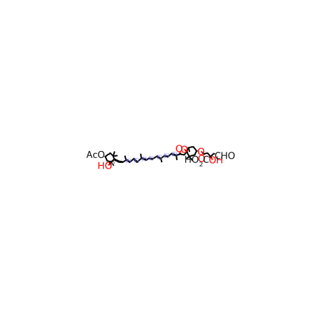 CC(=O)OC1CC(C)(C)C(=C=C/C(C)=C/C=C/C(C)=C/C=C/C=C(C)/C=C/C=C(\C)C(=O)CC23OC2(C)CC(OC(=O)CC(O)(CC=O)C(=O)O)CC3(C)C)[C@](C)(O)C1